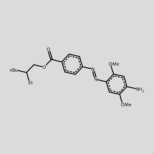 CCCCC(CC)COC(=O)c1ccc(N=Nc2cc(OC)c(N)cc2OC)cc1